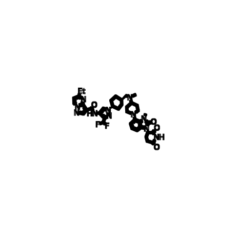 CCc1ccn2ncc(C(=O)Nc3cn([C@H]4CC[C@H](CN(C)C5CCN(c6cccc7c6n(C)c(=O)n7C6CCC(=O)NC6=O)CC5)CC4)nc3C(F)F)c2n1